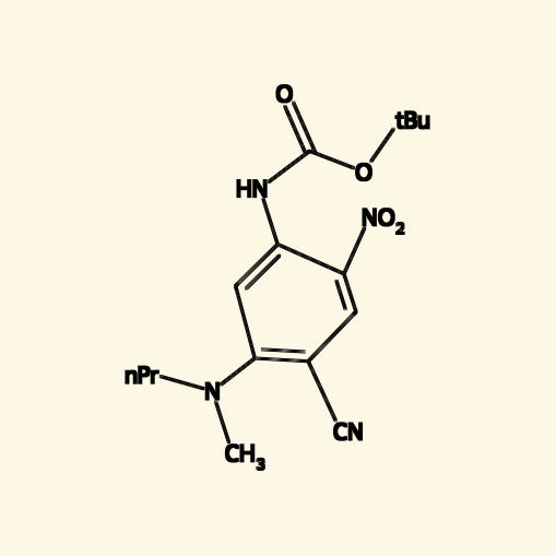 CCCN(C)c1cc(NC(=O)OC(C)(C)C)c([N+](=O)[O-])cc1C#N